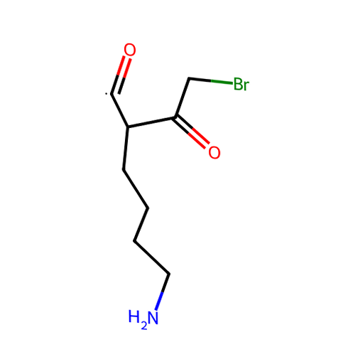 NCCCCC([C]=O)C(=O)CBr